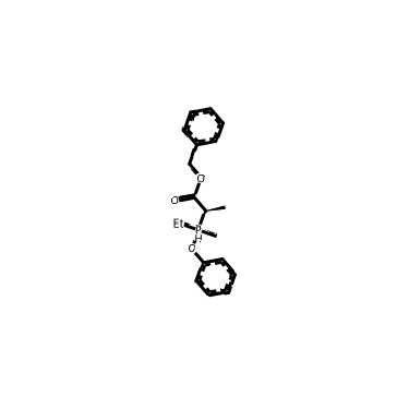 CC[PH](C)(Oc1ccccc1)[C@H](C)C(=O)OCc1ccccc1